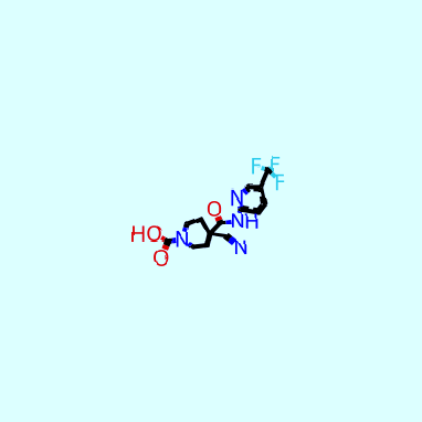 N#CC1(C(=O)Nc2ccc(C(F)(F)F)cn2)CCN(C(=O)O)CC1